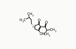 CC(C)CC[C@H]1CC(O)=C(C(=O)C(C)C)C1=O